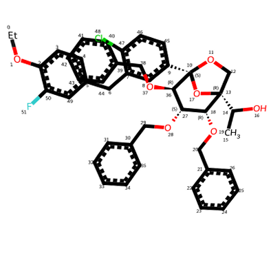 CCOc1ccc(Cc2cc([C@]34OC[C@](C(C)O)(O3)[C@H](OCc3ccccc3)[C@H](OCc3ccccc3)[C@H]4OCc3ccccc3)ccc2Cl)cc1F